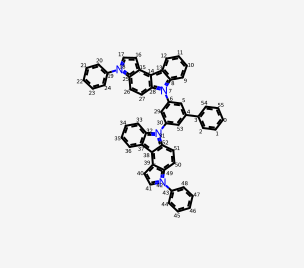 c1ccc(-c2cc(-n3c4ccccc4c4c5ccn(-c6ccccc6)c5ccc43)cc(-n3c4ccccc4c4c5ccn(-c6ccccc6)c5ccc43)c2)cc1